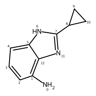 Nc1cccc2[nH]c(C3CC3)nc12